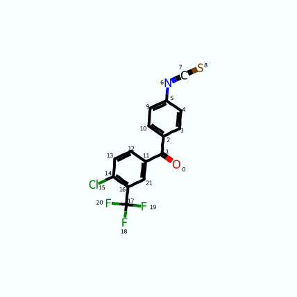 O=C(c1ccc(N=C=S)cc1)c1ccc(Cl)c(C(F)(F)F)c1